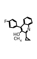 C.Oc1c(C2CC2)nc2ccccc2c1-c1ccc(F)cc1